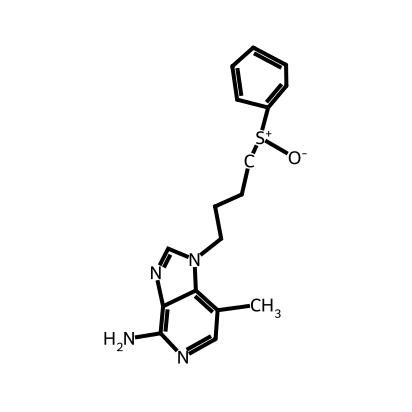 Cc1cnc(N)c2ncn(CCCC[S+]([O-])c3ccccc3)c12